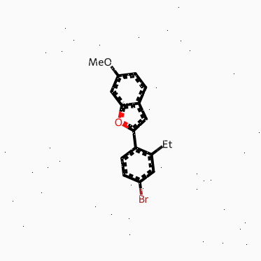 CCc1cc(Br)ccc1-c1cc2ccc(OC)cc2o1